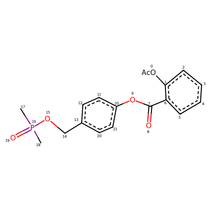 CC(=O)Oc1ccccc1C(=O)Oc1ccc(COP(C)(C)=O)cc1